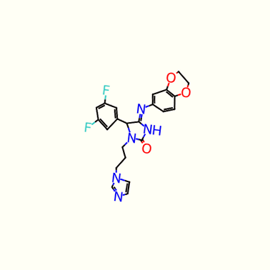 O=C1NC(=Nc2ccc3c(c2)OCCO3)C(c2cc(F)cc(F)c2)N1CCCn1ccnc1